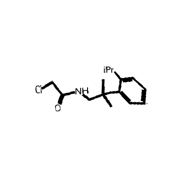 CC(C)c1cc[c]cc1C(C)(C)CNC(=O)CCl